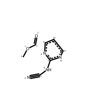 COC=O.N#CNc1ncccn1